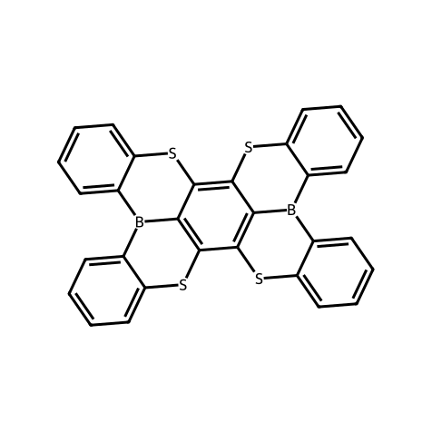 c1ccc2c(c1)Sc1c3c4c(c5c1B2c1ccccc1S5)Sc1ccccc1B4c1ccccc1S3